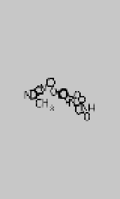 Cc1cncc2c1CN([C@H]1CCC[C@H]1Oc1ccc3c(c1)CN(C1CCC(=O)NC1=O)C3=O)C2